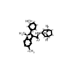 Cc1ccc2c(c1)c(C(=O)N[C@H]1C[C@H]3CC[C@@H](C1)N3)c(-c1ccccc1)n2C.Cl